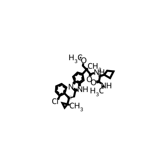 CNC(=O)[C@H](NC(=O)C(C)(COC)c1ccc2nc(C[C@H](c3ccccc3Cl)C3(C)CC3)[nH]c2c1)C1CCC1